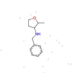 CC1OCCC1NCc1ccccc1